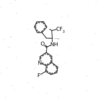 CC(C(F)(F)F)[C@](C)(Cc1ccccc1)NC(=O)c1cnc2c(F)cccc2c1